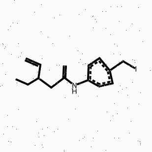 C=CC(CC)CC(=C)Nc1ccc(CI)cc1